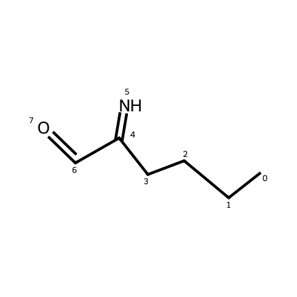 CCCCC(=N)C=O